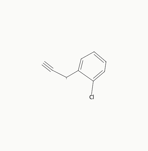 C#C[CH]c1ccccc1Cl